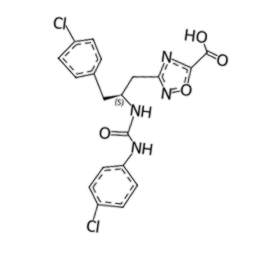 O=C(Nc1ccc(Cl)cc1)N[C@@H](Cc1ccc(Cl)cc1)Cc1noc(C(=O)O)n1